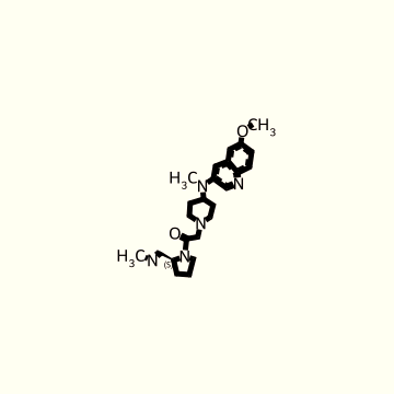 CN=C[C@@H]1CCCN1C(=O)CN1CCC(N(C)c2cnc3ccc(OC)cc3c2)CC1